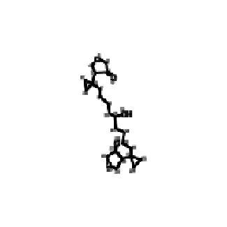 O=C1COCC1C1(CCCCC(O)CCCCC2(C3COCC3=O)CC2)CC1